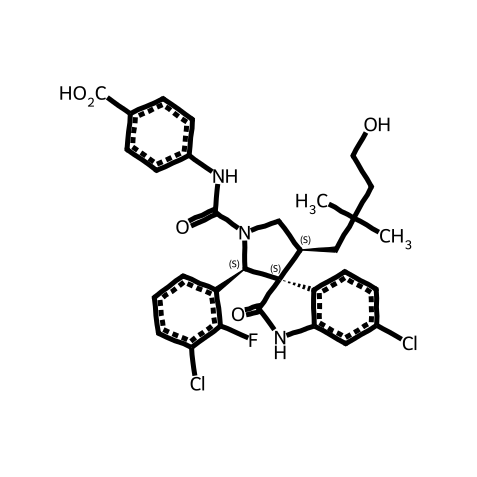 CC(C)(CCO)C[C@@H]1CN(C(=O)Nc2ccc(C(=O)O)cc2)[C@H](c2cccc(Cl)c2F)[C@]12C(=O)Nc1cc(Cl)ccc12